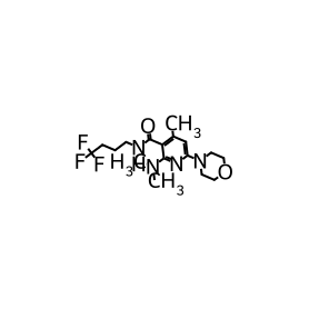 Cc1cc(N2CCOCC2)nc(N(C)C)c1C(=O)NCCCC(F)(F)F